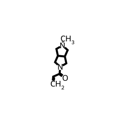 C=CC(=O)N1CC2CN(C)CC2C1